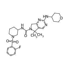 CC1(C)c2cnc(NC3CCOCC3)nc2CN1C(=O)NC1CCCN(S(=O)(=O)c2ccccc2F)C1